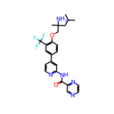 CC(C)CC(C)(N)COc1ccc(-c2ccnc(NC(=O)c3cnccn3)c2)cc1C(F)(F)F